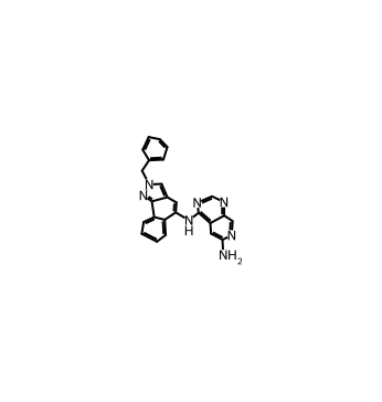 Nc1cc2c(Nc3cc4cn(Cc5ccccc5)nc4c4ccccc34)ncnc2cn1